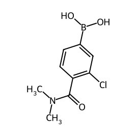 CN(C)C(=O)c1ccc(B(O)O)cc1Cl